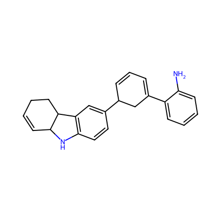 Nc1ccccc1C1=CC=CC(c2ccc3c(c2)C2CCC=CC2N3)C1